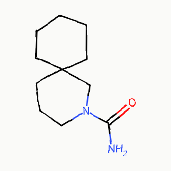 NC(=O)N1CCCC2(CCCCC2)C1